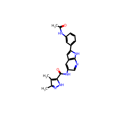 CC(=O)Nc1cccc(-c2cc3cc(NC(=O)c4[nH]nc(C)c4C)cnc3[nH]2)c1